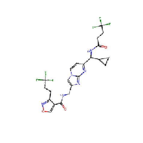 O=C(CCC(F)(F)F)NC(c1ccn2cc(CNC(=O)c3conc3CCC(F)(F)F)nc2n1)C1CC1